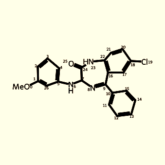 COc1cccc(NC2N=C(c3ccccc3)c3cc(Cl)ccc3NC2=O)c1